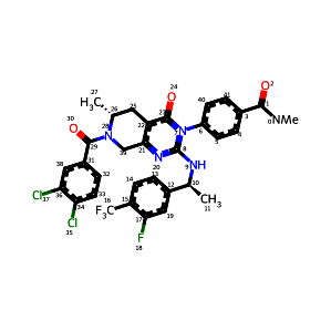 CNC(=O)c1ccc(-n2c(N[C@@H](C)c3ccc(C(F)(F)F)c(F)c3)nc3c(c2=O)C[C@@H](C)N(C(=O)c2ccc(Cl)c(Cl)c2)C3)cc1